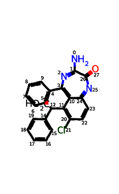 Nc1nc(-c2ccccc2)c2c(C(C(=O)O)c3ccccc3)c(Cl)ccc2nc1=O